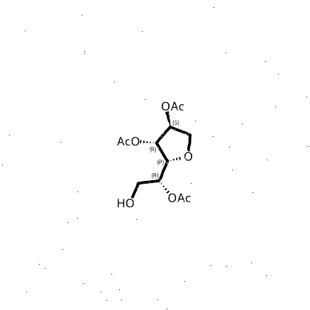 CC(=O)O[C@H]1[C@@H]([C@@H](CO)OC(C)=O)OC[C@@H]1OC(C)=O